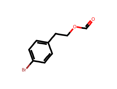 O=COCCc1ccc(Br)cc1